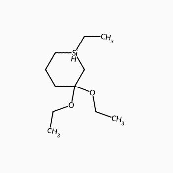 CCOC1(OCC)CCC[SiH](CC)C1